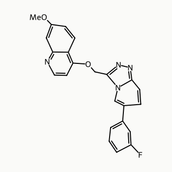 COc1ccc2c(OCc3nnc4ccc(-c5cccc(F)c5)cn34)ccnc2c1